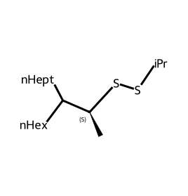 CCCCCCCC(CCCCCC)[C@H](C)SSC(C)C